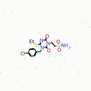 CCSc1nc(=O)n(CCS(N)(=O)=O)c(=O)n1Cc1ccc(Cl)cc1